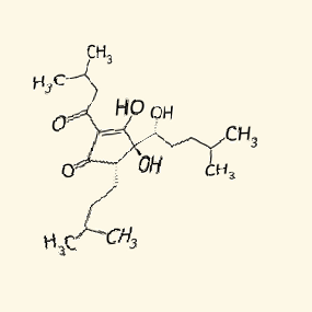 CC(C)CC[C@@H](O)[C@@]1(O)C(O)=C(C(=O)CC(C)C)C(=O)[C@H]1CCC(C)C